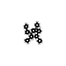 c1ccc(-c2cccc(-c3cccc4c3c3cc(N(c5cccc(-c6ccccc6)c5)c5cccc(-c6ccccc6)c5)ccc3n4-c3ccccc3)c2)cc1